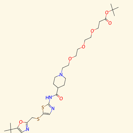 CC(C)(C)OC(=O)CCOCCOCCOCCN1CCC(C(=O)Nc2ncc(SCc3ncc(C(C)(C)C)o3)s2)CC1